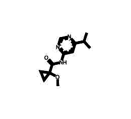 COC1(C(=O)Nc2cc(C(C)C)ncn2)CC1